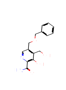 NC(=O)c1ncc(COCc2ccccc2)c(CO)c1O